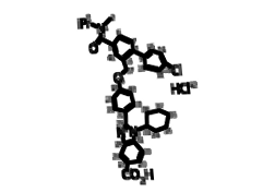 CC(C)N(C)C(=O)c1ccc(-c2ccc(Cl)cc2)c(COc2ccc(-c3nc4cc(C(=O)O)ccc4n3C3CCCCC3)cc2)c1.Cl